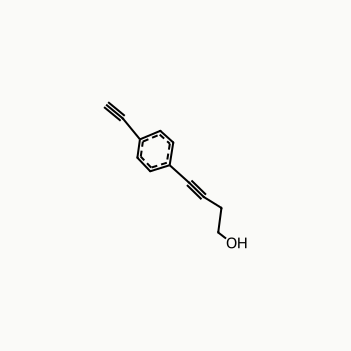 C#Cc1ccc(C#CCCO)cc1